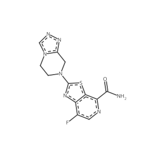 NC(=O)c1ncc(F)c2nc(N3CCn4cnnc4C3)sc12